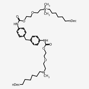 CCCCCCCCCCCCCCCCN(C)CCOCCOC(=O)Nc1ccc(Cc2ccc(NC(=O)OCCOCC[N+](C)(C)CCCCCCCCCCCCCCCC)cc2)cc1